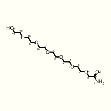 NC(=O)COCCOCCOCCOCCOCCOCCO